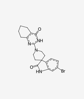 O=C1Nc2cc(Br)ccc2C12CCN(c1nc3c(c(=O)[nH]1)CCCC3)CC2